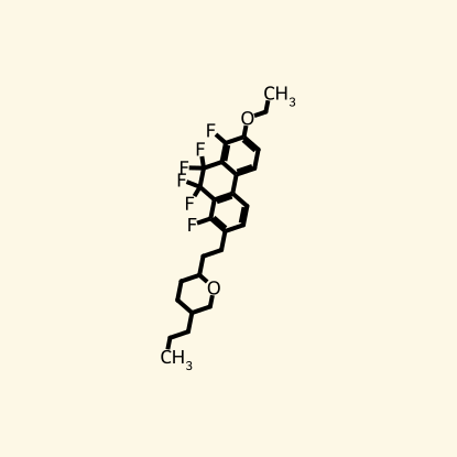 CCCC1CCC(CCc2ccc3c(c2F)C(F)(F)C(F)(F)c2c-3ccc(OCC)c2F)OC1